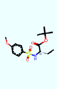 CC[C@H](NS(=O)(=O)c1ccc(OC)cc1)C(=O)OC(C)(C)C